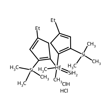 CCC1=CC([Si](C)(C)C)=[C]([Hf]([CH3])([CH3])(=[SiH2])[C]2=C([Si](C)(C)C)C=C(CC)C2)C1.Cl.Cl